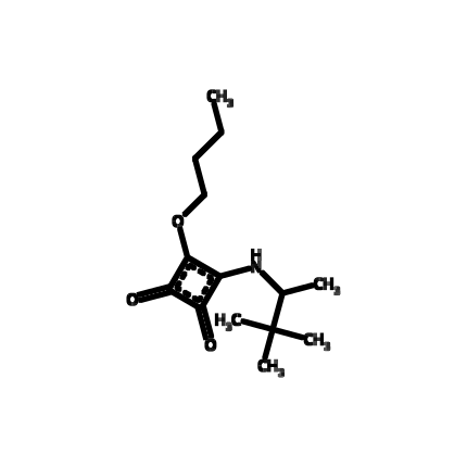 CCCCOc1c(NC(C)C(C)(C)C)c(=O)c1=O